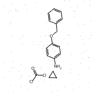 C1CC1.Nc1ccc(OCc2ccccc2)cc1.O=C(Cl)Cl